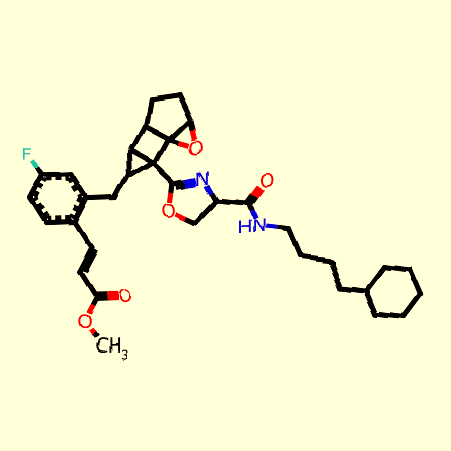 COC(=O)/C=C/c1ccc(F)cc1CC1C2C3CCC4OC43C12C1=NC(C(=O)NCCCCC2CCCCC2)CO1